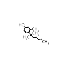 CCCC=CC(C)(C)c1ccc(O)cc1C